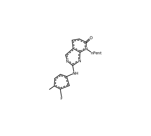 CCCCCn1c(=O)ccc2cnc(Nc3ccc(C)c(F)c3)nc21